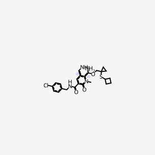 Cn1c(=O)c(C(=O)NCc2ccc(Cl)cc2)cc(=C/N)/c1=C(\N)OCC1(SC2CCC2)CC1